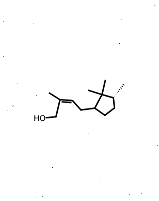 CC(=CCC1CC[C@@H](C)C1(C)C)CO